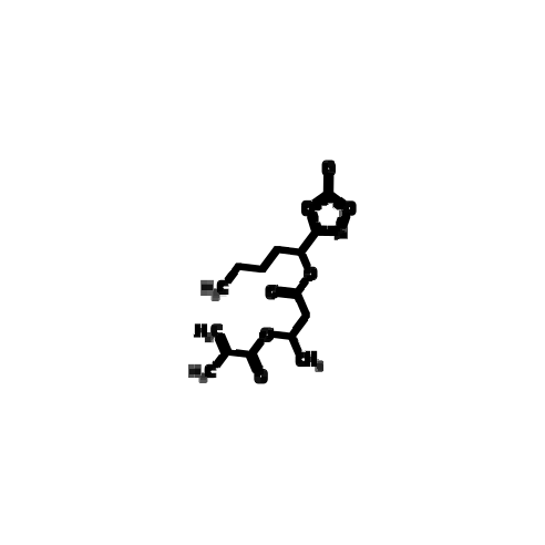 C=C(C)C(=O)OC(C)CC(=O)OC(CCCC)c1noc(=O)o1